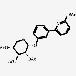 COc1cccc(-c2cccc(O[C@H]3SC[C@@H](OC(C)=O)[C@H](OC(C)=O)[C@H]3OC(C)=O)c2)n1